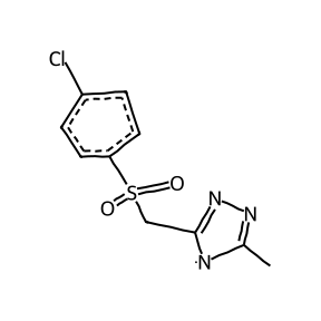 CC1=NN=C(CS(=O)(=O)c2ccc(Cl)cc2)[N]1